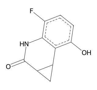 O=C1Nc2c(F)ccc(O)c2C2CC12